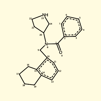 O=C(c1ccccc1)N(Cc1cccc2c1CCCC2)C1CCNC1